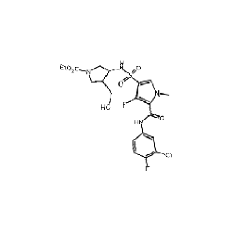 CCOC(=O)N1CC(CO)C(NS(=O)(=O)c2cn(C)c(C(=O)Nc3ccc(F)c(Cl)c3)c2F)C1